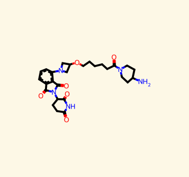 NC1CCN(C(=O)CCCCCOC2CN(c3cccc4c3C(=O)N(C3CCC(=O)NC3=O)C4=O)C2)CC1